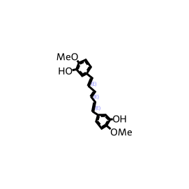 COc1ccc(/C=C/C=C/C=C/c2ccc(OC)c(O)c2)cc1O